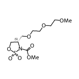 COCCOCCOC[C@H]1COS(=O)(=O)N1C(=O)OC